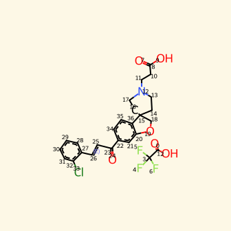 O=C(O)C(F)(F)F.O=C(O)CCN1CCC2(CC1)COc1cc(C(=O)/C=C/c3ccccc3Cl)ccc12